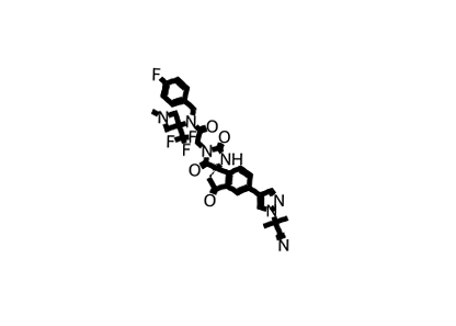 CN1CC(N(Cc2ccc(F)cc2)C(=O)CN2C(=O)N[C@]3(CC(=O)c4cc(-c5cnn(C(C)(C)C#N)c5)ccc43)C2=O)(C(F)(F)F)C1